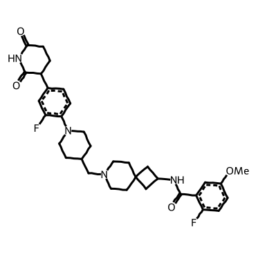 COc1ccc(F)c(C(=O)NC2CC3(CCN(CC4CCN(c5ccc(C6CCC(=O)NC6=O)cc5F)CC4)CC3)C2)c1